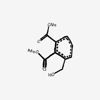 COC(=O)c1cccc(CO)c1C(=O)OC